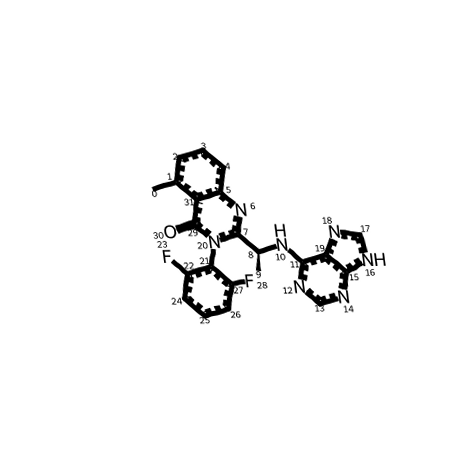 Cc1cccc2nc([C@H](C)Nc3ncnc4[nH]cnc34)n(-c3c(F)cccc3F)c(=O)c12